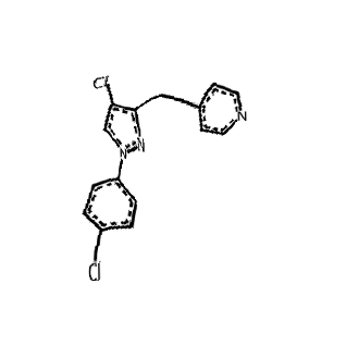 Clc1ccc(-n2cc(Cl)c(Cc3ccncc3)n2)cc1